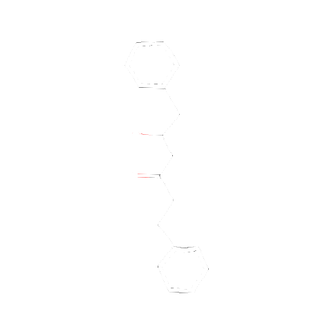 O=C(CCc1ccccc1)CC(O)Cc1ccccc1